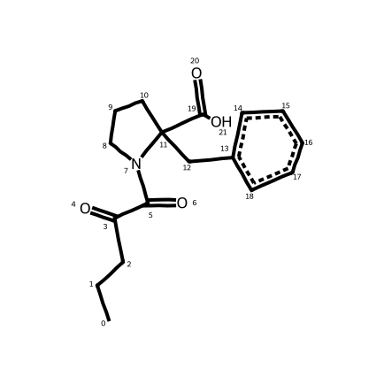 CCCC(=O)C(=O)N1CCCC1(Cc1ccccc1)C(=O)O